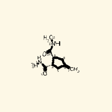 [2H]NC(=O)[C@H]1CC(=C)C[C@@H]1C(=O)NC